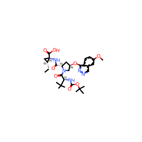 CC[C@@H]1C[C@]1(NC(=O)[C@@H]1C[C@@H](Oc2nncc3cc(OC)ccc23)CN1C(=O)[C@@H](NC(=O)OC(C)(C)C)C(C)(C)C)C(=O)O